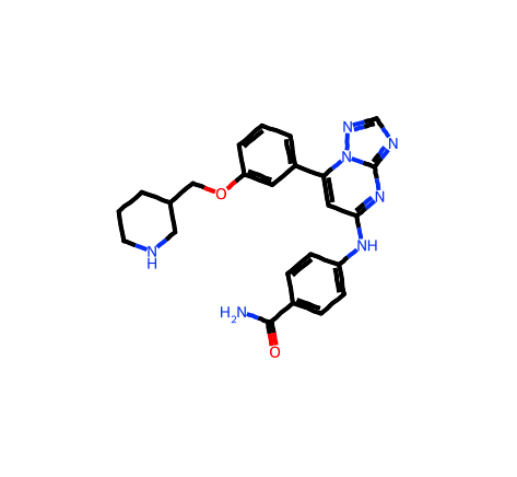 NC(=O)c1ccc(Nc2cc(-c3cccc(OCC4CCCNC4)c3)n3ncnc3n2)cc1